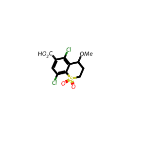 COC1CCS(=O)(=O)c2c(Cl)cc(C(=O)O)c(Cl)c21